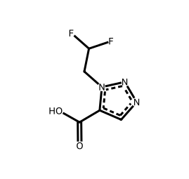 O=C(O)c1cnnn1CC(F)F